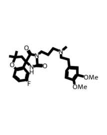 COc1ccc(CCN(C)CCCN2C(=O)NC3(CC(C)(C)Oc4ccc(F)cc43)C2=O)cc1OC